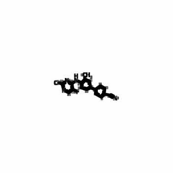 Cc1cc(-c2ccc(C#N)cc2)ccc1Nc1nc(Cl)ncc1F